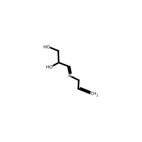 C=CCN=CC(O)CO